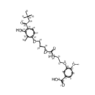 COc1ccc(C(=O)O)cc1OCCNC(=O)OCCCOc1ccc(C(=O)CC(C)(C)C)c(O)c1C